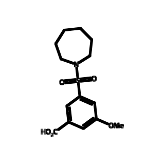 COc1cc(C(=O)O)cc(S(=O)(=O)N2CCCCCC2)c1